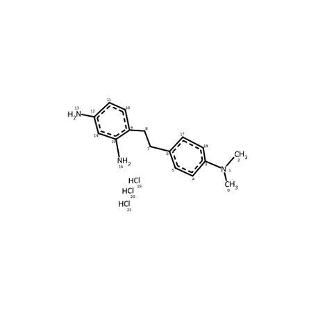 CN(C)c1ccc(CCc2ccc(N)cc2N)cc1.Cl.Cl.Cl